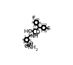 NS(=O)(=O)c1cccc(CNC2COC(C(c3ccc(F)cc3)c3ccc(F)cc3)CC2O)c1